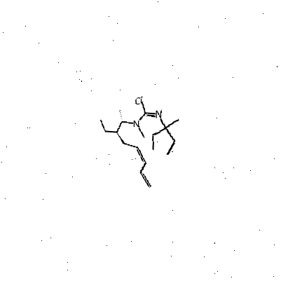 C=C/C=C\C[C@@H](CC)[C@H](C)N(C)/C(Cl)=N\C(C)(CC)CC